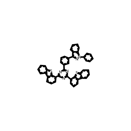 c1ccc(-n2nc(-c3cccc(-c4nc(-c5cccc6c5sc5ccccc56)nc(-c5cccc6c5sc5ccccc56)n4)c3)c3ccccc32)cc1